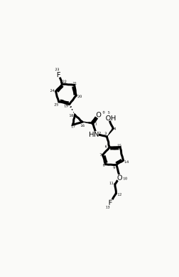 O=C(N[C@@H](CO)c1ccc(OCCF)cc1)[C@H]1C[C@@H]1c1ccc(F)cc1